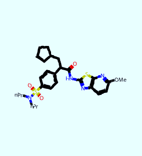 CCCN(CCC)S(=O)(=O)c1ccc(C(CC2CCCC2)C(=O)Nc2nc3ccc(OC)nc3s2)cc1